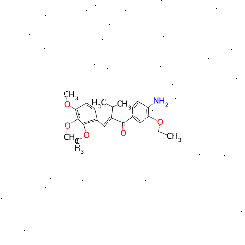 CCOc1cc(C(=O)/C(=C/c2ccc(OC)c(OC)c2OC)C(C)C)ccc1N